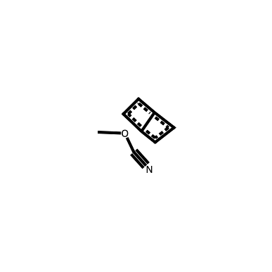 COC#N.c1cc2ccc1-2